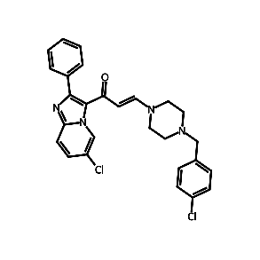 O=C(C=CN1CCN(Cc2ccc(Cl)cc2)CC1)c1c(-c2ccccc2)nc2ccc(Cl)cn12